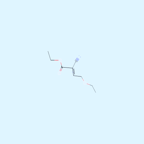 CCOC/C=C(\C#N)C(=O)OCC